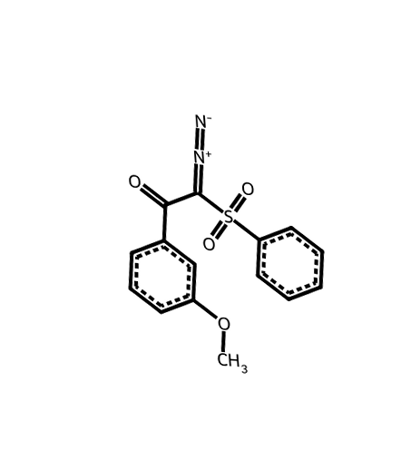 COc1cccc(C(=O)C(=[N+]=[N-])S(=O)(=O)c2ccccc2)c1